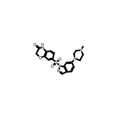 CN1CCN(c2ccc3cnn(S(=O)(=O)c4ccc5c(c4)OCC(=O)N5)c3c2)CC1